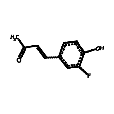 CC(=O)/C=C/c1ccc(O)c(F)c1